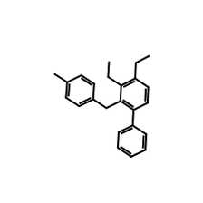 CCc1ccc(-c2ccccc2)c(Cc2ccc(C)cc2)c1CC